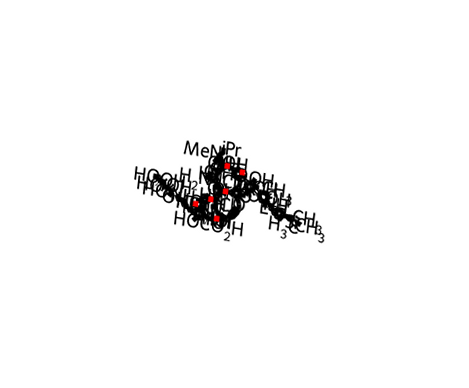 CCC1(NCc2ccc(C#C[Si](C)(C)C)cc2)C[C@H](O[C@H]2C(Oc3c4cc5cc3Oc3ccc(cc3Cl)[C@@H](O)[C@@H](NC(=O)[C@@H](CC(C)C)NC)C(=O)NC(CC(N)=O)C(=O)N[C@H]5C(=O)N[C@H]3C(=O)N[C@H](C(=O)N[C@H](C(=O)O)c5cc(O)c(CNCCCNC(=O)[C@H](O)[C@@H](O)[C@H](O)[C@H](O)CO)c(O)c5-c5cc3ccc5O)[C@H](O)c3ccc(c(Cl)c3)O4)O[C@H](CO)C(O)C2O)C[C@@H](C)[C@H]1O